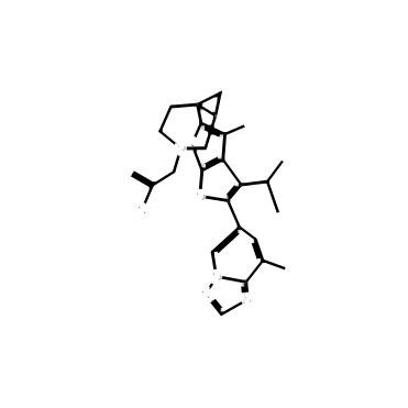 Cc1c(C23CCN(CC(N)=O)CC2C3)sc2[nH]c(-c3cc(C)c4ncnn4c3)c(C(C)C)c12